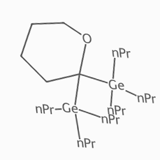 CC[CH2][Ge]([CH2]CC)([CH2]CC)[C]1([Ge]([CH2]CC)([CH2]CC)[CH2]CC)CCCCO1